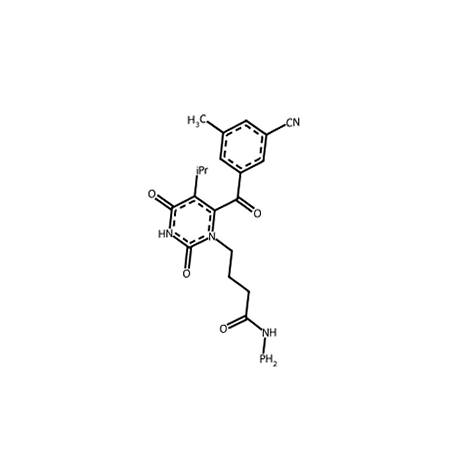 Cc1cc(C#N)cc(C(=O)c2c(C(C)C)c(=O)[nH]c(=O)n2CCCC(=O)NP)c1